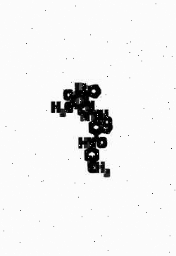 CC[C@H]1C(=O)N(C)c2cnc(Nc3ccc(C(=O)NC4CCN(C)CC4)c4c3OCC4)nc2N1C1CCCC1